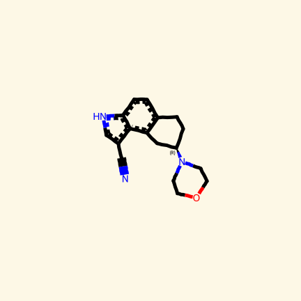 N#Cc1c[nH]c2ccc3c(c12)C[C@H](N1CCOCC1)CC3